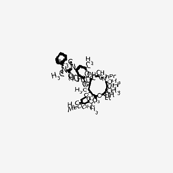 CCCN1C[C@H](C)C[C@@](C)(O)[C@H](O[C@@H]2O[C@H](C)C[C@H](N(C)C(=O)N(C)c3ccccc3)[C@H]2O)[C@@H](C)[C@H](O[C@H]2C[C@@](C)(OC)[C@@H](O)[C@H](C)O2)[C@@H](C)C(=O)O[C@H](CC)[C@@](C)(O)[C@H](O)[C@H]1C